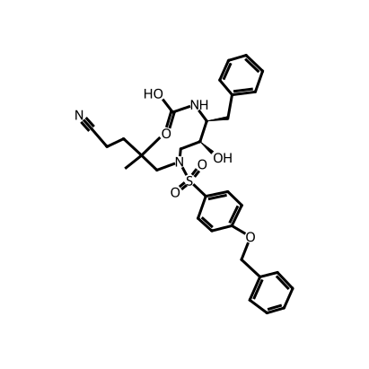 CC(C)(CCC#N)CN(C[C@H](O)[C@H](Cc1ccccc1)NC(=O)O)S(=O)(=O)c1ccc(OCc2ccccc2)cc1